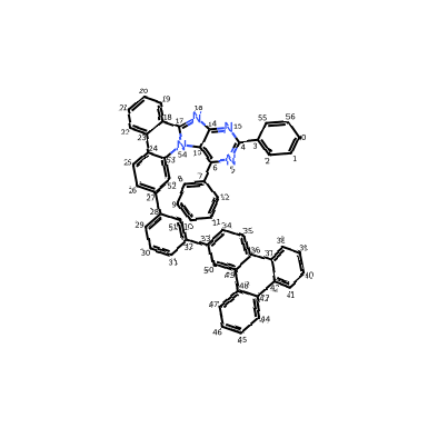 c1ccc(-c2nc(-c3ccccc3)c3c(n2)nc2c4ccccc4c4ccc(-c5cccc(-c6ccc7c8ccccc8c8ccccc8c7c6)c5)cc4n23)cc1